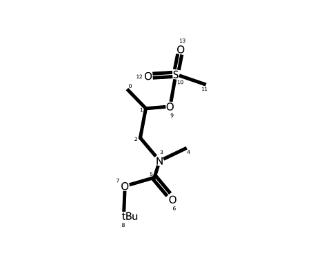 CC(CN(C)C(=O)OC(C)(C)C)OS(C)(=O)=O